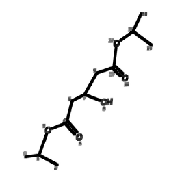 CC(C)OC(=O)CC(O)CC(=O)OC(C)C